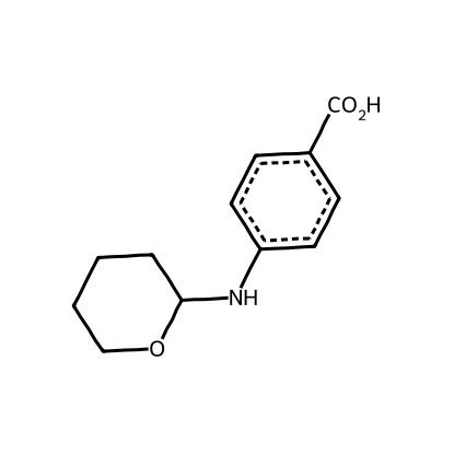 O=C(O)c1ccc(NC2CCCCO2)cc1